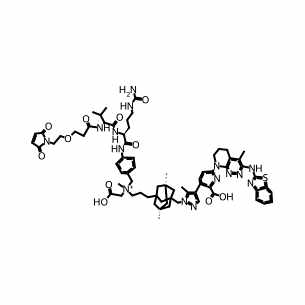 Cc1c(Nc2nc3ccccc3s2)nnc2c1CCCN2c1ccc(-c2cnn(CC34CC5(CCC[N+](C)(CC(=O)O)Cc6ccc(NC(=O)[C@H](CCCNC(N)=O)NC(=O)[C@@H](NC(=O)CCOCCN7C(=O)C=CC7=O)C(C)C)cc6)C[C@@](C)(C3)C[C@](C)(C5)C4)c2C)c(C(=O)O)n1